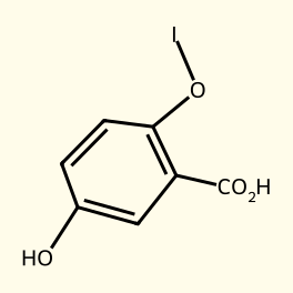 O=C(O)c1cc(O)ccc1OI